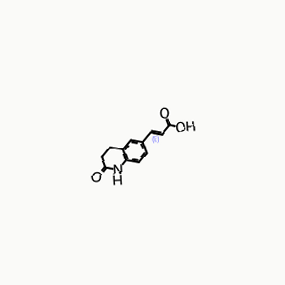 O=C(O)/C=C/c1ccc2c(c1)CCC(=O)N2